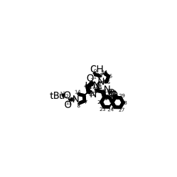 C[C@H](Oc1cc([C@H]2CCN(C(=O)OC(C)(C)C)C2)nc(-c2noc3c2CCC[C@@]32CCCCC2=O)n1)[C@@H]1CCCN1C